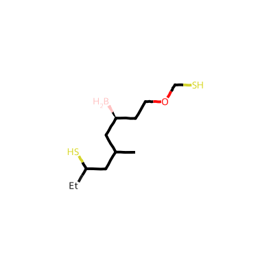 B[C@@H](CCOCS)CC(C)CC(S)CC